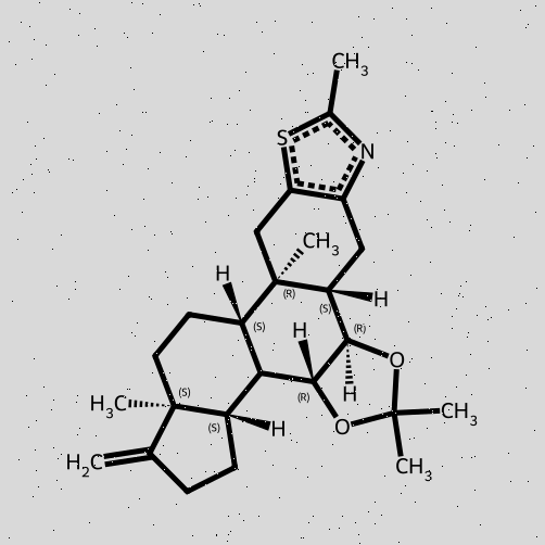 C=C1CC[C@H]2C3[C@H]4OC(C)(C)O[C@@H]4[C@H]4Cc5nc(C)sc5C[C@]4(C)[C@H]3CC[C@]12C